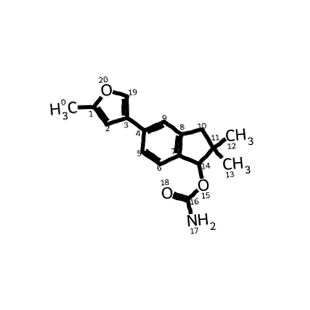 Cc1cc(-c2ccc3c(c2)CC(C)(C)C3OC(N)=O)co1